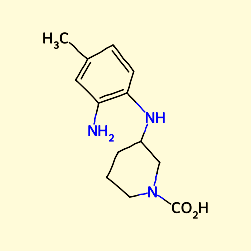 Cc1ccc(NC2CCCN(C(=O)O)C2)c(N)c1